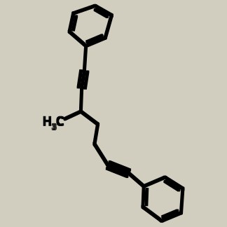 CC(C#Cc1ccccc1)CCC#Cc1ccccc1